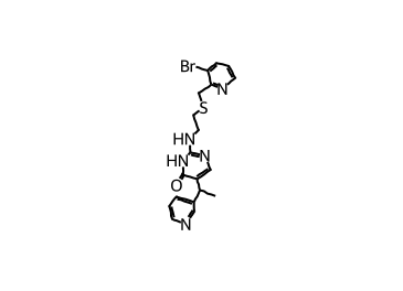 CC(c1cccnc1)c1cnc(NCCSCc2ncccc2Br)[nH]c1=O